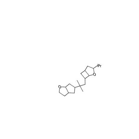 CC(C)C1CC2CC(CC(C)(C)C3CC4CCOC4C3)C2O1